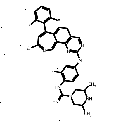 CC1CN(C(=N)Nc2ccc(Nc3ncc4c(n3)C3=CN=C(Cl)C=C(c5c(F)cccc5F)C3=CC4)cc2F)CC(C)N1